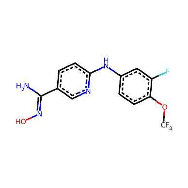 N/C(=N\O)c1ccc(Nc2ccc(OC(F)(F)F)c(F)c2)nc1